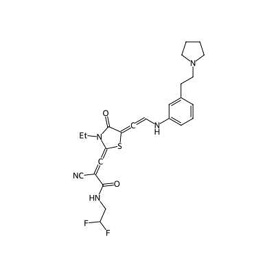 CCn1c(=C=C(C#N)C(=O)NCC(F)F)sc(=C=CNc2cccc(CCN3CCCC3)c2)c1=O